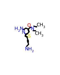 CCCN(CCC)C(=O)C1=Cc2sc(C#CCCN)cc2N=C(N)C1